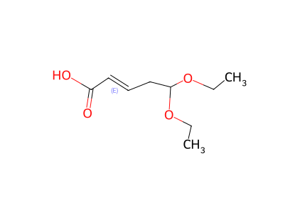 CCOC(C/C=C/C(=O)O)OCC